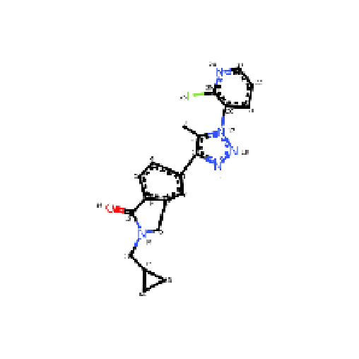 Cc1c(-c2ccc3c(c2)CN(CC2CC2)C3=O)nnn1-c1cccnc1F